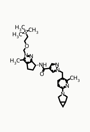 Cc1nc(N2CC3CC3C2)ccc1Cn1cc(C(=O)N[C@@H]2CCc3c2nn(COCCS(C)(C)C)c3C)cn1